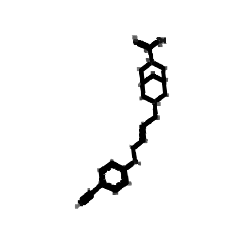 N#Cc1ccc(OCC=CCN2CC3CC(C2)CN(C(=O)O)C3)cc1